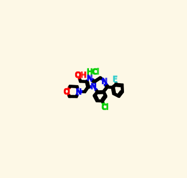 Cl.OCc1nc2n(c1CN1CCOCC1)-c1ccc(Cl)cc1C(c1ccccc1F)=NC2